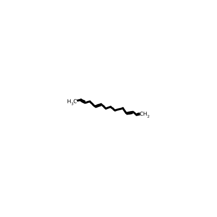 C=CC=CCCCCC=CCC=CC